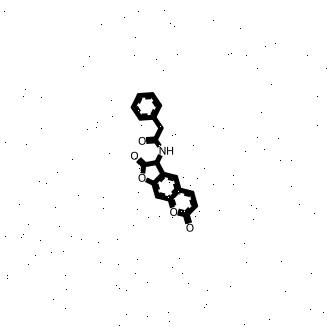 O=C(Cc1ccccc1)NC1C(=O)Oc2cc3oc(=O)ccc3cc21